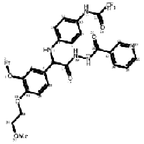 CCOc1cc(C(Nc2ccc(NC(=O)C(F)(F)F)cc2)C(=O)NNC(=O)c2cccnc2)ccc1OCCOC